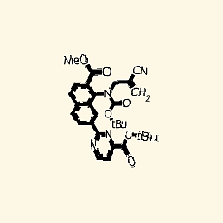 C=C(C#N)CN(C(=O)OC(C)(C)C)c1c(C(=O)OC)ccc2ccc(-c3nccc(C(=O)OC(C)(C)C)n3)cc12